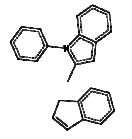 C1=Cc2ccccc2C1.Cc1cc2ccccc2n1-c1ccccc1